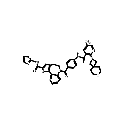 Cc1cnc(N2CC3(CCOCC3)C2)c(C(=O)Nc2ccc(C(=O)N3CCc4cc(C(=O)Nc5ncco5)sc4-c4ncccc43)cc2)c1